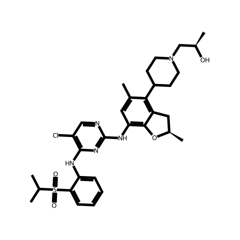 Cc1cc(Nc2ncc(Cl)c(Nc3ccccc3S(=O)(=O)C(C)C)n2)c2c(c1C1CCN(C[C@@H](C)O)CC1)C[C@@H](C)O2